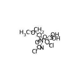 C=C(OCC)c1ccc2c(c1)C(=O)N(Cc1ccc(Cl)cn1)C2(OC1CCS(O)(O)C1)c1ccc(Cl)cc1